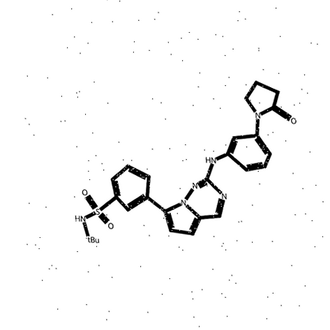 CC(C)(C)NS(=O)(=O)c1cccc(-c2ccc3cnc(Nc4cccc(N5CCCC5=O)c4)nn23)c1